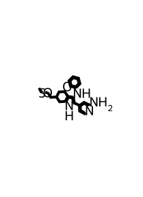 CSOCC1CC(=O)c2c([nH]c(-c3ccnc(N)c3)c2Nc2ccccc2)C1